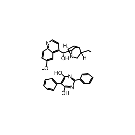 CC[C@@H]1CN2CCC1C[C@@H]2[C@@H](O)c1ccnc2ccc(OC)cc12.Oc1nc(-c2ccccc2)nc(O)c1-c1ccccc1